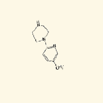 [CH2]c1ccc(N2CCNCC2)nc1